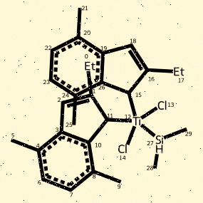 CCC1=Cc2c(C)ccc(C)c2[CH]1[Ti]([Cl])([Cl])([CH]1C(CC)=Cc2c(C)ccc(C)c21)[SiH](C)C